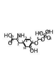 NC(Cc1ccc(OCOP(=O)(O)O)c(O)c1)C(=O)O